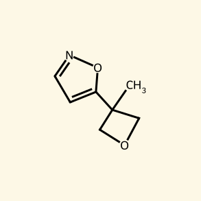 CC1(c2ccno2)COC1